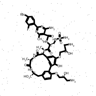 Cc1nc(-c2ccc(C(C)(C)C)cc2F)nc(N)c1C(=O)N[C@@H](CNS(N)(=O)=O)C(=O)N(C)[C@@H]1C(=O)N[C@@H](C)C(=O)N[C@H](C(=O)O)Cc2ccc(OC[C@H](O)CN)c(c2)-c2cc1cc(OC[C@H](O)CN)c2O